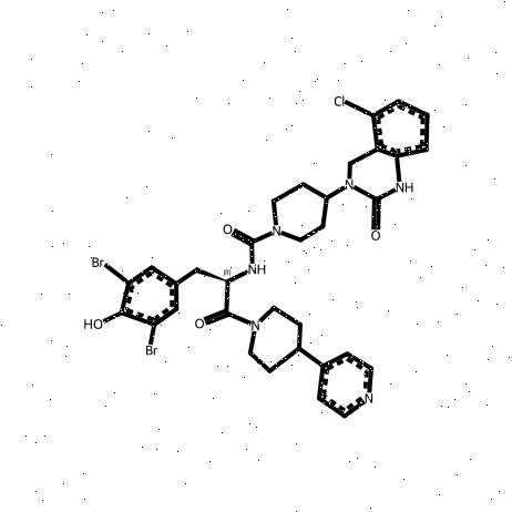 O=C(N[C@H](Cc1cc(Br)c(O)c(Br)c1)C(=O)N1CCC(c2ccncc2)CC1)N1CCC(N2Cc3c(Cl)cccc3NC2=O)CC1